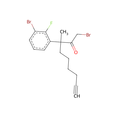 C#CCCCCC(C)(C(=O)CBr)c1cccc(Br)c1F